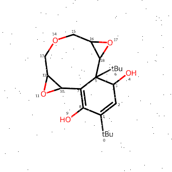 CC(C)(C)C1=CC(O)C2(C(C)(C)C)C(=C1O)C1OC1COCC1OC12